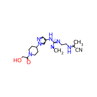 C=N/C(=N\CCN[C@@H](C)C#N)Nc1cnn(C2CCN(C(=O)CO)CC2)c1